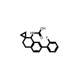 O=C(O)NC1c2cc(-c3ccccc3F)ccc2CCC12CC2